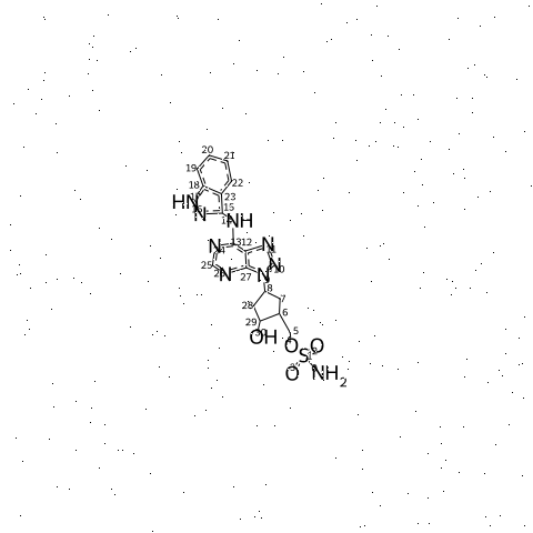 NS(=O)(=O)OCC1CC(n2nnc3c(Nc4n[nH]c5ccccc45)ncnc32)CC1O